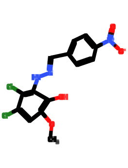 COc1cc(Cl)c(Cl)c(N/N=C/c2ccc([N+](=O)[O-])cc2)c1O